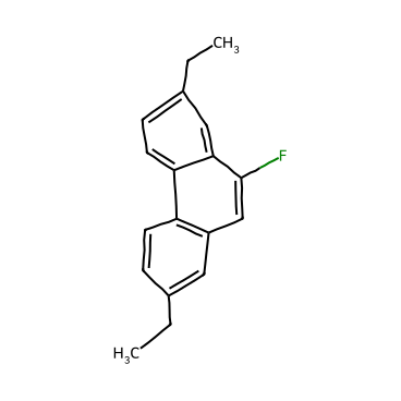 CCc1ccc2c(c1)cc(F)c1cc(CC)ccc12